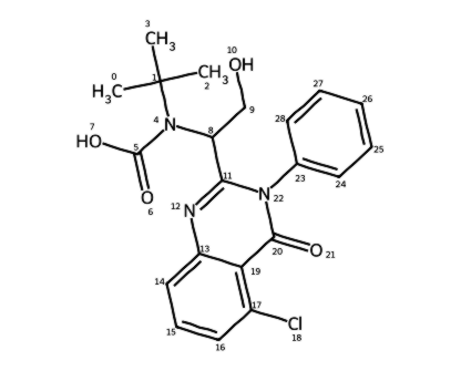 CC(C)(C)N(C(=O)O)C(CO)c1nc2cccc(Cl)c2c(=O)n1-c1ccccc1